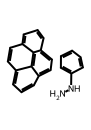 NNc1ccccc1.c1cc2ccc3cccc4ccc(c1)c2c34